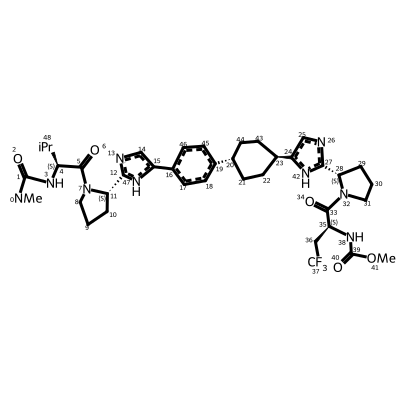 CNC(=O)N[C@H](C(=O)N1CCC[C@H]1c1ncc(-c2ccc([C@H]3CC[C@H](c4cnc([C@@H]5CCCN5C(=O)[C@H](CC(F)(F)F)NC(=O)OC)[nH]4)CC3)cc2)[nH]1)C(C)C